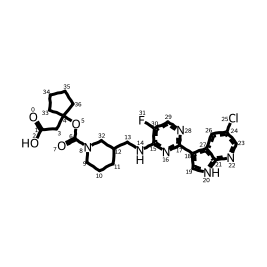 O=C(O)CC1(OC(=O)N2CCCC(CNc3nc(-c4c[nH]c5ncc(Cl)cc45)ncc3F)C2)CCCC1